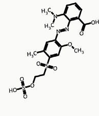 COc1cc(S(=O)(=O)CCOS(=O)(=O)O)c(C)cc1N=Nc1c(C(=O)O)cccc1N(C)C